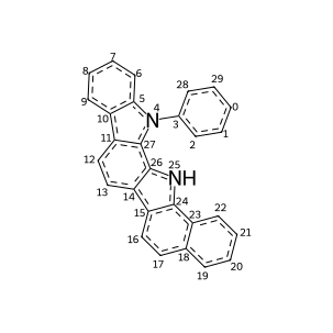 c1ccc(-n2c3ccccc3c3ccc4c5ccc6ccccc6c5[nH]c4c32)cc1